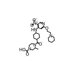 CC1CN(C(=O)O)CCN1C(=O)C1CCC(Nc2cc(OCCN3CCCCC3)ncc2[N+](=O)[O-])CC1